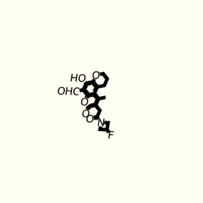 Cc1c(CC(=O)N2CC(F)C2)c(=O)oc2c(C=O)c(O)c3c(c12)CCCO3